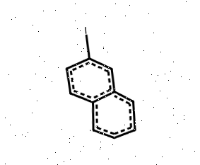 Ic1ccc2[c]cccc2c1